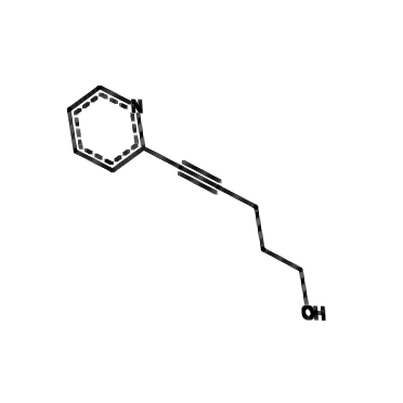 OCCCC#Cc1ccccn1